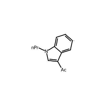 CCCn1cc(C(C)=O)c2c[c]ccc21